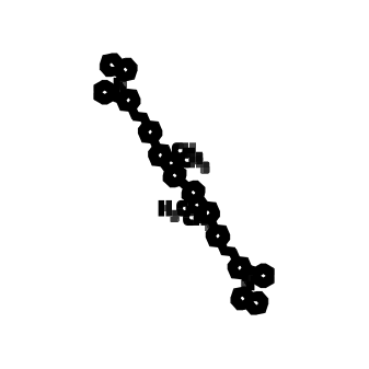 CC1(C)c2cc(-c3ccc(/C=C/c4ccc5c(c4)c4ccccc4n5-c4cccc5ccccc45)cc3)ccc2-c2ccc(-c3ccc4c(c3)C(C)(C)c3cc(-c5ccc(/C=C/c6ccc7c(c6)c6ccccc6n7-c6cccc7ccccc67)cc5)ccc3-4)cc21